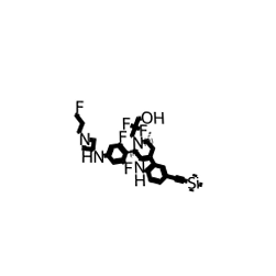 C[C@@H]1Cc2c([nH]c3ccc(C#C[Si](C)(C)C)cc23)[C@@H](c2c(F)cc(NC3CN(CCCF)C3)cc2F)N1CC(F)(F)CO